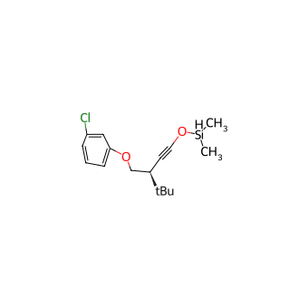 C[SiH](C)OC#C[C@H](COc1cccc(Cl)c1)C(C)(C)C